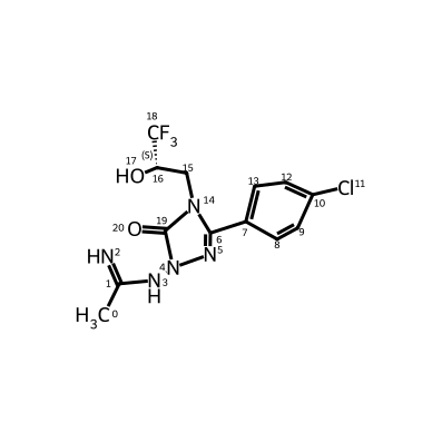 CC(=N)Nn1nc(-c2ccc(Cl)cc2)n(C[C@H](O)C(F)(F)F)c1=O